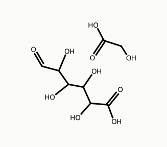 O=C(O)CO.O=CC(O)C(O)C(O)C(O)C(=O)O